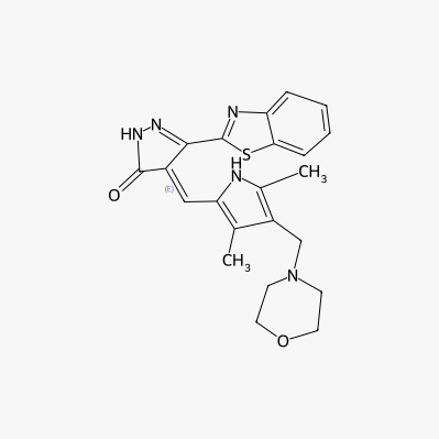 Cc1[nH]c(/C=C2/C(=O)NN=C2c2nc3ccccc3s2)c(C)c1CN1CCOCC1